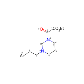 CCOC(=O)C(=O)N1C=CCN(CCC(C)=O)C1